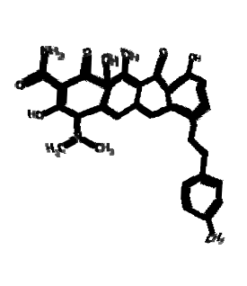 Cc1ccc(CCc2ccc(O)c3c2CC2CC4C(N(C)C)C(O)=C(C(N)=O)C(=O)C4(O)C(O)=C2C3=O)cc1